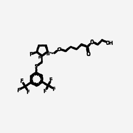 O=C(CCCCOC[C@H]1CCC(F)[C@@H]1CSc1cc(C(F)(F)F)cc(C(F)(F)F)c1)OCCO